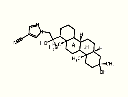 C[C@@]1(O)CC[C@@]2(C)[C@H](CC[C@@H]3[C@@H]2CC[C@@]2(C)[C@H]3CCC[C@@H]2[C@@](C)(O)Cn2cc(C#N)cn2)C1